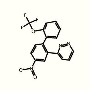 O=[N+]([O-])c1ccc(-c2ccccc2OC(F)(F)F)c(-c2cccnn2)c1